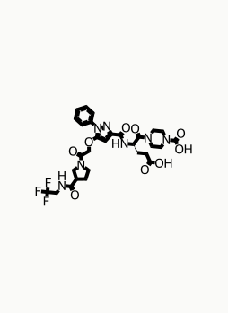 O=C(O)CC[C@H](NC(=O)c1cc(OCC(=O)N2CCC(C(=O)NCC(F)(F)F)C2)n(-c2ccccc2)n1)C(=O)N1CCN(C(=O)O)CC1